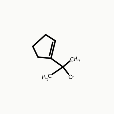 CC(C)([O])C1=CCCC1